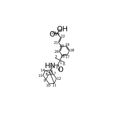 CC(C)(C(=O)NC1C2CC3CC(C2)CC1C3)c1cccc(/C=C/C(=O)O)c1